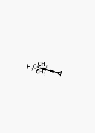 C[Si](C)(C)C#CC#CC1CC1